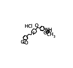 CS(=O)(=O)Nc1ccc(C(=O)C2CCN(CCc3ccc4c(c3)OCO4)CC2)cc1.Cl